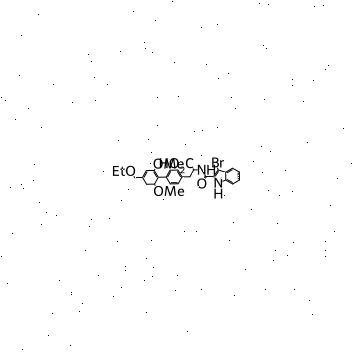 CCOCC1=CC(OC)=C(c2ccc(C[C@H](NC(=O)c3[nH]c4ccccc4c3Br)C(=O)O)cc2)C(OC)C1